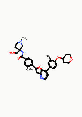 COc1cc(C(=O)NC2(CO)CCN(C)C2)ccc1-c1cc2nccc(-c3ccc(OC4CCOCC4)c(C#N)c3)c2o1